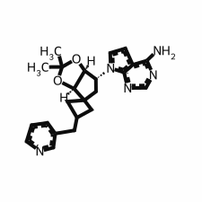 CC1(C)O[C@H]2[C@H](n3ccc4c(N)ncnc43)CC3(CC(Cc4cccnc4)C3)[C@H]2O1